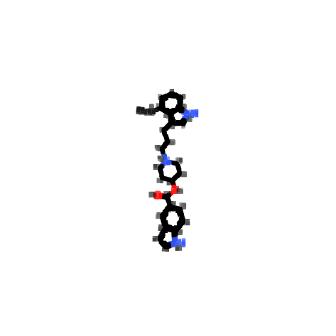 COc1cccc2[nH]cc(CCCN3CCC(OC(=O)c4ccc5[nH]ccc5c4)CC3)c12